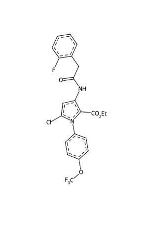 CCOC(=O)c1c(NC(=O)Cc2ccccc2F)cc(Cl)n1-c1ccc(OC(F)(F)F)cc1